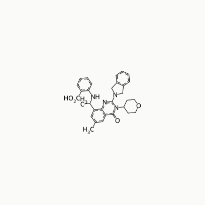 Cc1cc(C(C)Nc2ccccc2C(=O)O)c2nc(N3Cc4ccccc4C3)n(C3CCOCC3)c(=O)c2c1